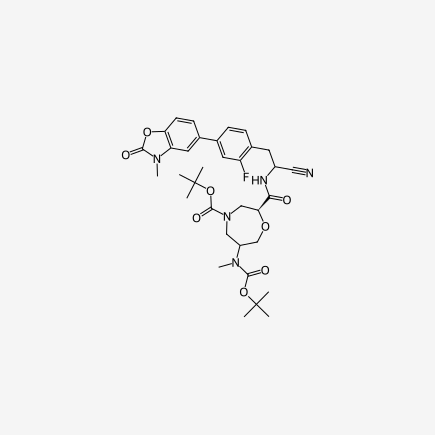 CN(C(=O)OC(C)(C)C)C1CO[C@H](C(=O)NC(C#N)Cc2ccc(-c3ccc4oc(=O)n(C)c4c3)cc2F)CN(C(=O)OC(C)(C)C)C1